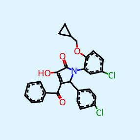 O=C(C1=C(O)C(=O)N(c2cc(Cl)ccc2OCC2CC2)C1c1ccc(Cl)cc1)c1ccccc1